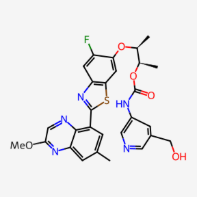 COc1cnc2c(-c3nc4cc(F)c(O[C@@H](C)[C@@H](C)OC(=O)Nc5cncc(CO)c5)cc4s3)cc(C)cc2n1